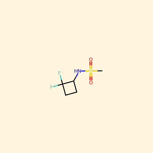 CS(=O)(=O)NC1CCC1(F)F